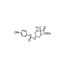 COC(=O)C1(C)OCC(OC(=O)Oc2ccc(N=O)cc2)CO1